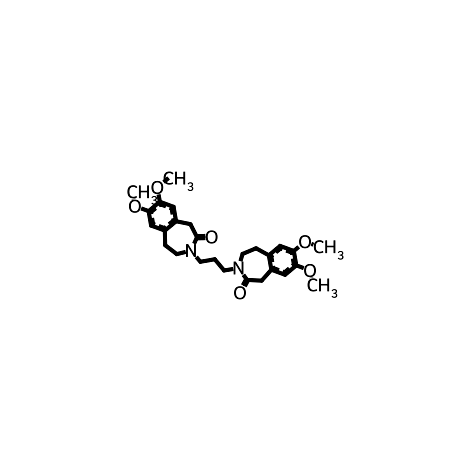 COc1cc2c(cc1OC)CC(=O)N(CCCN1CCc3cc(OC)c(OC)cc3CC1=O)CC2